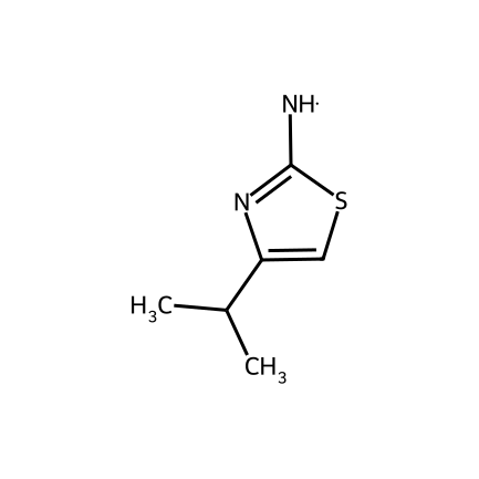 CC(C)c1csc([NH])n1